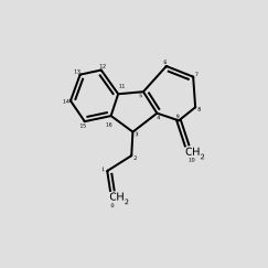 C=CCC1C2=C(C=CCC2=C)c2ccccc21